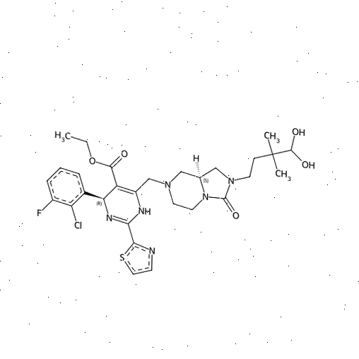 CCOC(=O)C1=C(CN2CCN3C(=O)N(CCC(C)(C)C(O)O)C[C@@H]3C2)NC(c2nccs2)=N[C@H]1c1cccc(F)c1Cl